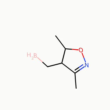 BCC1C(C)=NOC1C